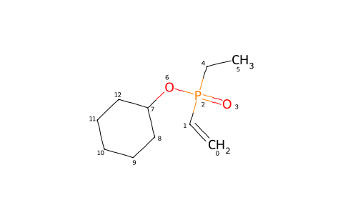 C=CP(=O)(CC)OC1CCCCC1